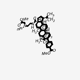 C=C(C)[C@@H]1CC[C@]2(C(=O)NCCN(CCC)CC(=O)OC)CC[C@]3(C)[C@H](CC[C@@H]4[C@@]5(C)CC=C(c6ccc(C(=O)OC)cc6)C(C)(C)[C@@H]5CC[C@]43C)[C@@H]12